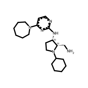 NC[C@H]1[C@@H](Nc2nccc(N3CCCCCC3)n2)CCN1C1CCCCC1